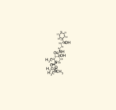 CC1CC(O)(C(=O)NCCC[C@H](O)c2ccccc2)CCN1C(=O)OC(C)(C)C